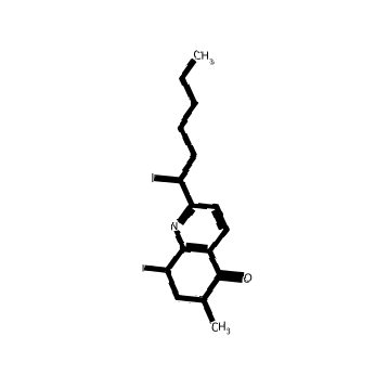 CCCCCC(I)c1ccc2c(n1)C(I)CC(C)C2=O